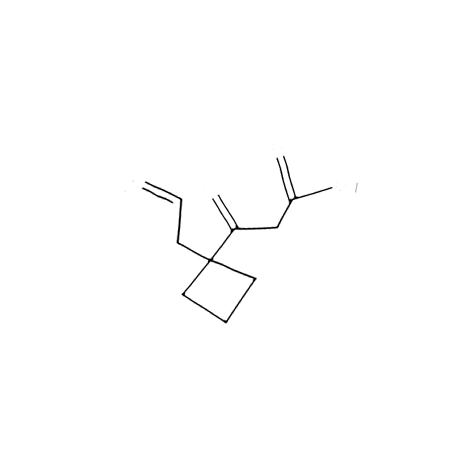 C=CCC1(C(=O)CC(=O)O)CCC1